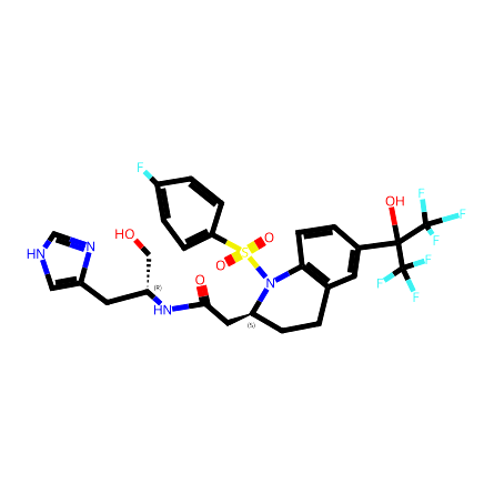 O=C(C[C@@H]1CCc2cc(C(O)(C(F)(F)F)C(F)(F)F)ccc2N1S(=O)(=O)c1ccc(F)cc1)N[C@@H](CO)Cc1c[nH]cn1